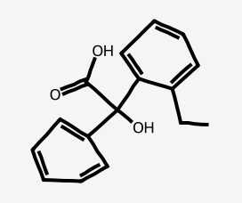 CCc1ccccc1C(O)(C(=O)O)c1ccccc1